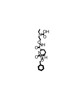 CCN(CCONC(=O)[C@@H]1CC[C@@H]2CN1C(=O)N2OCc1ccccc1)C(=O)O